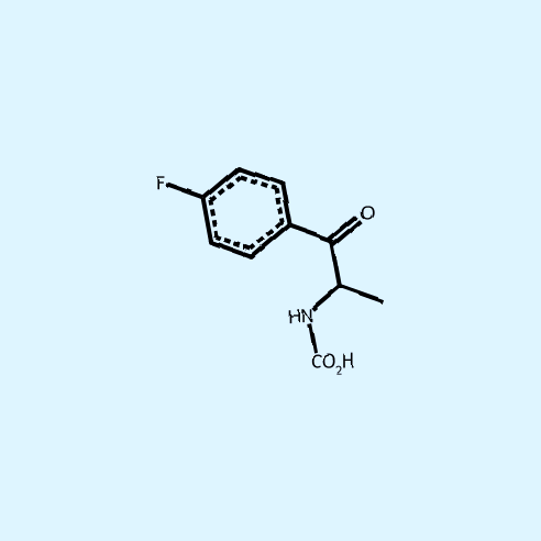 CC(NC(=O)O)C(=O)c1ccc(F)cc1